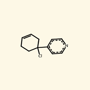 ClC1(c2ccncc2)CC=CCC1